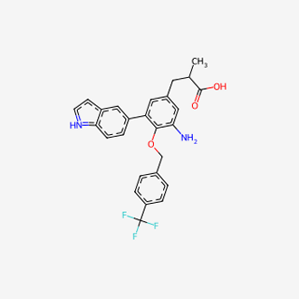 CC(Cc1cc(N)c(OCc2ccc(C(F)(F)F)cc2)c(-c2ccc3[nH]ccc3c2)c1)C(=O)O